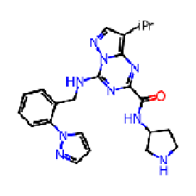 CC(C)c1cnn2c(NCc3ccccc3-n3cccn3)nc(C(=O)NC3CCNC3)nc12